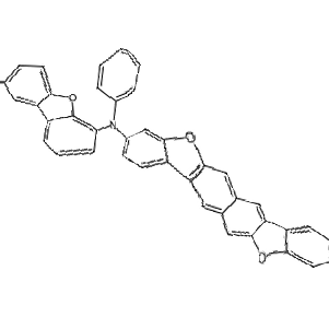 c1ccc(N(c2ccc3c(c2)oc2cc4cc5c(cc4cc23)oc2ccccc25)c2cccc3c2oc2ccccc23)cc1